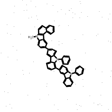 Cn1c2ccc(-c3ccc4c(c3)c3cccc(-c5ccc6c(c5)c5ccccc5n6-c5ccccc5)c3n4-c3ccccc3)cc2c2c3ccccc3ccc21